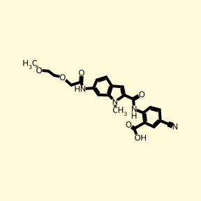 COCCOCC(=O)Nc1ccc2cc(C(=O)Nc3ccc(C#N)cc3C(=O)O)n(C)c2c1